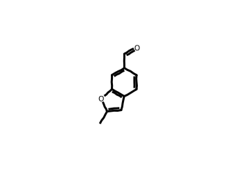 Cc1cc2ccc(C=O)cc2o1